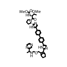 COC(=O)N[C@H](C(=O)N1CCC[C@H]1c1ncc(-c2ccc(-c3ccc(-c4cnc(C5C6CCC(C6)C5COCNC(C)c5cnccn5)[nH]4)cc3)cc2)[nH]1)[C@@H](C)OC